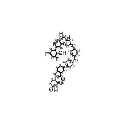 O=C1CCC(N2Cc3ccc(N4CCN(Cc5ccc(O[C@@H]6C[C@@H]7CNc8nnc(-c9cc(F)cc(F)c9O)cc8N7C6)cn5)CC4)cc3C2=O)C(=O)N1